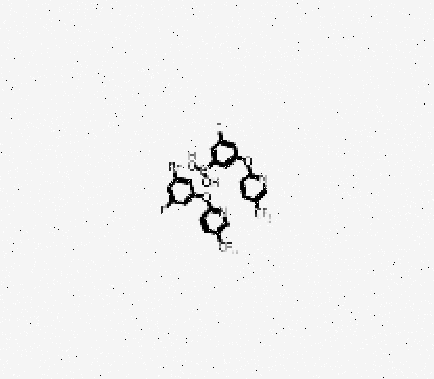 Fc1cc(Br)cc(Oc2ccc(C(F)(F)F)cn2)c1.OB(O)c1cc(F)cc(Oc2ccc(C(F)(F)F)cn2)c1